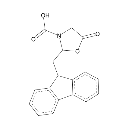 O=C1CN(C(=O)O)C(CC2c3ccccc3-c3ccccc32)O1